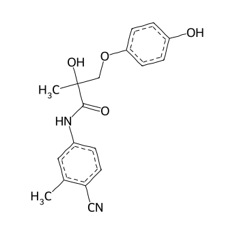 Cc1cc(NC(=O)C(C)(O)COc2ccc(O)cc2)ccc1C#N